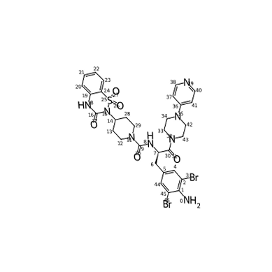 Nc1c(Br)cc(C[C@@H](NC(=O)N2CCC(N3C(=O)Nc4ccccc4S3(=O)=O)CC2)C(=O)N2CCN(c3ccncc3)CC2)cc1Br